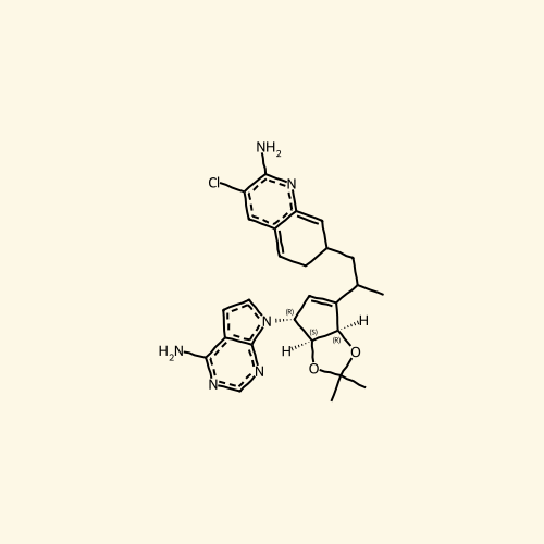 CC(CC1C=c2nc(N)c(Cl)cc2=CC1)C1=C[C@@H](n2ccc3c(N)ncnc32)[C@@H]2OC(C)(C)O[C@H]12